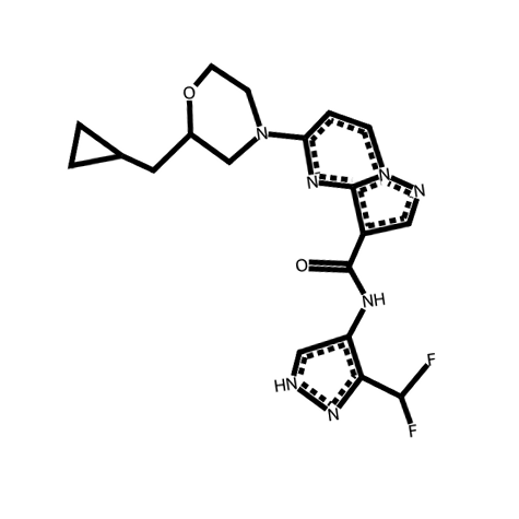 O=C(Nc1c[nH]nc1C(F)F)c1cnn2ccc(N3CCOC(CC4CC4)C3)nc12